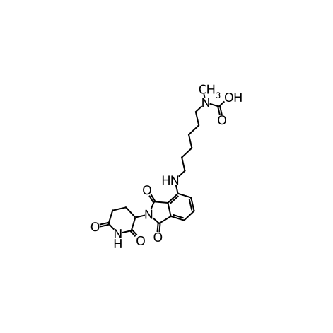 CN(CCCCCCNc1cccc2c1C(=O)N(C1CCC(=O)NC1=O)C2=O)C(=O)O